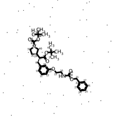 CC(C)(C)OC(=O)[C@@H](Cc1cccc(OCCNC(=O)OCc2ccccc2)c1)[C@H]1CCN(C(=O)OC(C)(C)C)C1